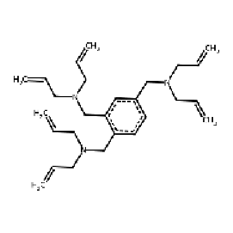 C=CCN(CC=C)Cc1ccc(CN(CC=C)CC=C)c(CN(CC=C)CC=C)c1